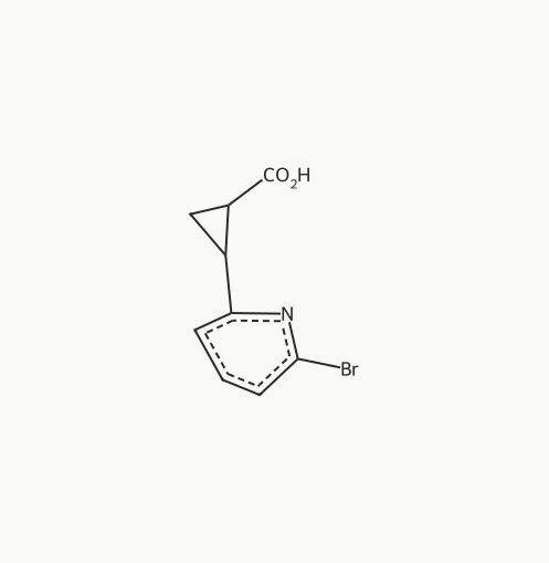 O=C(O)C1CC1c1cccc(Br)n1